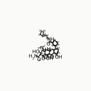 CN(C)[C@@H]1C(O)=C(C(N)=O)C(=O)[C@@]2(O)C(O)=C3C(=O)c4c(O)ccc(-c5cccc(C(=O)NCCN6CCCC6)c5)c4C[C@H]3C[C@@H]12